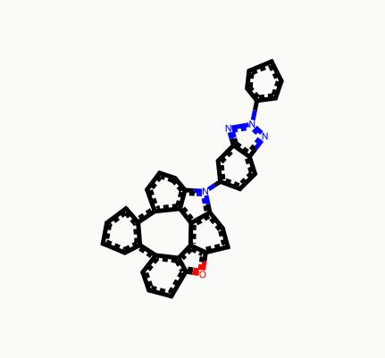 c1ccc(-n2nc3ccc(-n4c5cccc6c7ccccc7c7cccc8oc9ccc4c(c9c87)c65)cc3n2)cc1